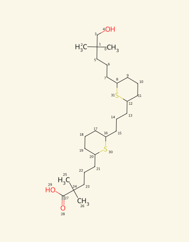 CC(C)(CO)CCCC1CCCC(CCCC2CCCC(CCCC(C)(C)C(=O)O)S2)S1